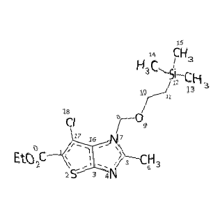 CCOC(=O)c1sc2nc(C)n(COCC[Si](C)(C)C)c2c1Cl